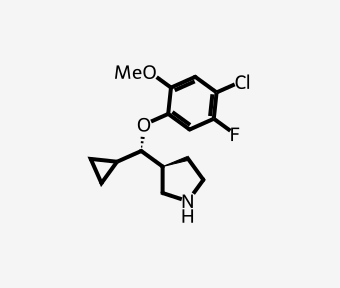 COc1cc(Cl)c(F)cc1O[C@@H](C1CC1)[C@H]1CCNC1